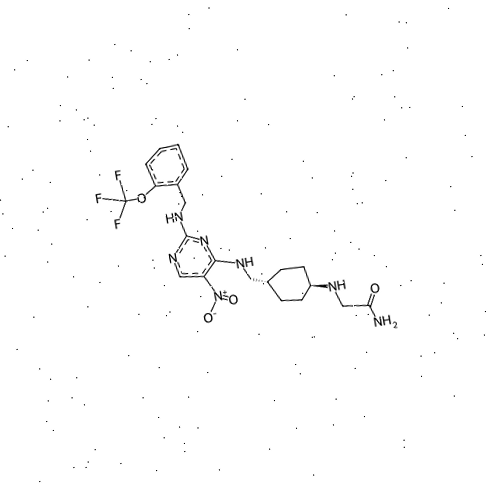 NC(=O)CN[C@H]1CC[C@H](CNc2nc(NCc3ccccc3OC(F)(F)F)ncc2[N+](=O)[O-])CC1